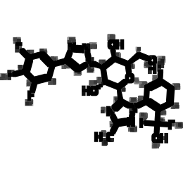 Cc1nc([C@@H]2O[C@H](CO)[C@H](O)[C@H](n3cc(-c4cc(F)c(F)c(F)c4)nn3)[C@H]2O)n(-c2cc(F)ccc2C(O)(F)F)n1